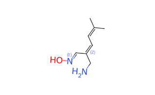 CC(C)=C/C=C(\C=N\O)CN